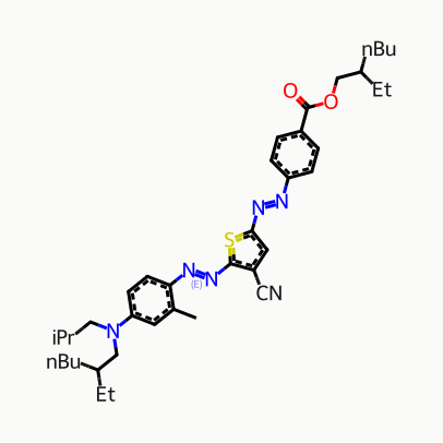 CCCCC(CC)COC(=O)c1ccc(N=Nc2cc(C#N)c(/N=N/c3ccc(N(CC(C)C)CC(CC)CCCC)cc3C)s2)cc1